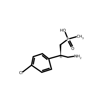 CP(=O)(O)C[C@@H](CN)c1ccc(Cl)cc1